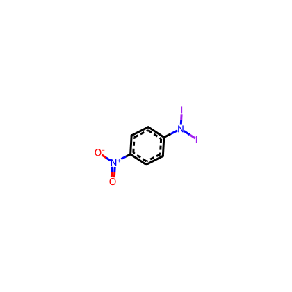 O=[N+]([O-])c1ccc(N(I)I)cc1